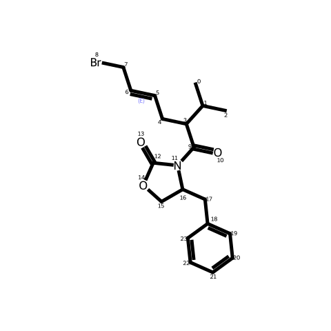 CC(C)C(C/C=C/CBr)C(=O)N1C(=O)OCC1Cc1ccccc1